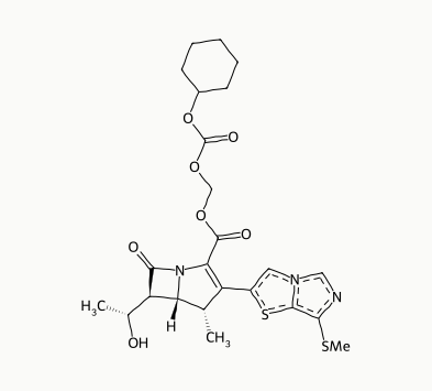 CSc1ncn2cc(C3=C(C(=O)OCOC(=O)OC4CCCCC4)N4C(=O)[C@H]([C@@H](C)O)[C@H]4[C@H]3C)sc12